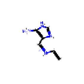 C=C/N=C\c1nc[nH]c1N